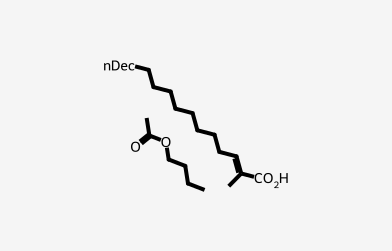 CCCCCCCCCCCCCCCCCCC=C(C)C(=O)O.CCCCOC(C)=O